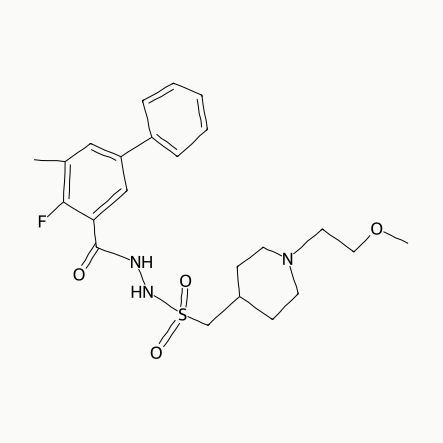 COCCN1CCC(CS(=O)(=O)NNC(=O)c2cc(-c3ccccc3)cc(C)c2F)CC1